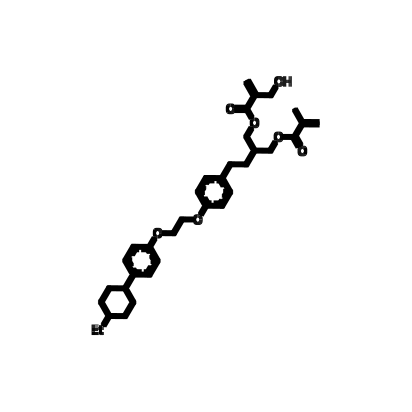 C=C(C)C(=O)OCC(CCc1ccc(OCCOc2ccc(C3CCC(CC)CC3)cc2)cc1)COC(=O)C(=C)CO